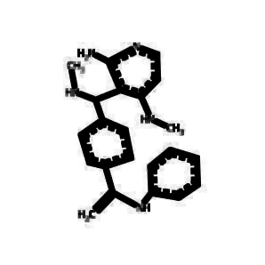 C=C(Nc1ccccc1)c1ccc(C(NC)c2c(NC)ccnc2N)cc1